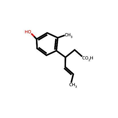 CC=CC(CC(=O)O)c1ccc(O)cc1C